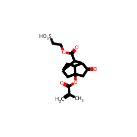 C=C(C)C(=O)OC12CC(=O)C3C(C(=O)OCCS(=O)(=O)O)C(CC31)C2